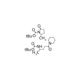 CC(CCC(=O)N1CCCCC1)NC(=O)OC(C)(C)C.CC1CCC(=O)N1C(=O)OC(C)(C)C